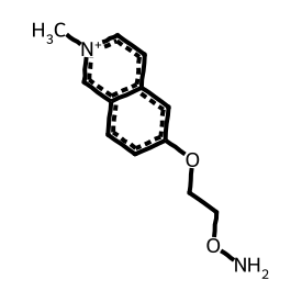 C[n+]1ccc2cc(OCCON)ccc2c1